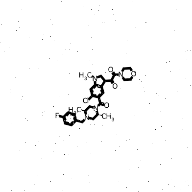 C[C@@H]1CN(Cc2ccc(F)cc2)[C@@H](C)CN1C(=O)c1cc2c(cc1Cl)N(C)CC2C(=O)C(=O)N1CCOCC1